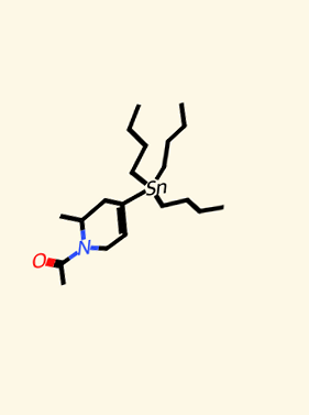 CCC[CH2][Sn]([CH2]CCC)([CH2]CCC)[C]1=CCN(C(C)=O)C(C)C1